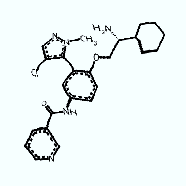 Cn1ncc(Cl)c1-c1cc(NC(=O)c2cccnc2)ccc1OC[C@H](N)C1CCCCC1